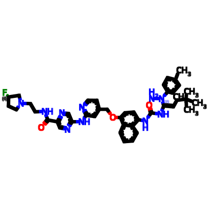 Cc1ccc(N(N)/C(=C\C(C)C(C)(C)C)NC(=O)Nc2ccc(OCc3ccnc(Nc4cnc(C(=O)NCCN5CC[C@@H](F)C5)cn4)c3)c3ccccc23)cc1